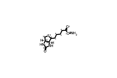 NOC(=O)CCCCC1SC[C@@H]2NC(=O)N[C@H]12